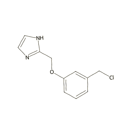 ClCc1cccc(OCc2ncc[nH]2)c1